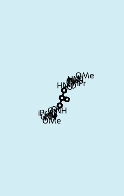 COC(=O)N[C@H](C(=O)N1CCC[C@H]1C(=O)Nc1ccc(-c2ccc(-c3ccc(NC(=O)[C@@H]4CCCN4C(=O)[C@@H](NC(=O)OC)C(C)C)cc3)c3c2C2CCC3C2)cc1)C(C)C